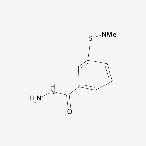 CNSc1cccc(C(=O)NN)c1